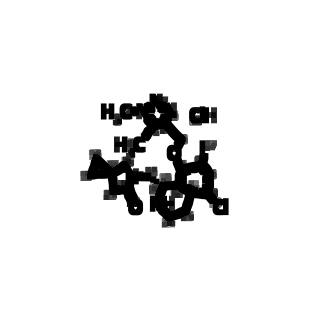 Cc1c(COc2c(F)cc(Cl)c3c2[C@@H](CN2CC4(CC4)CC2=O)NCC3)nnn1C.Cl